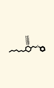 CCCCCCCC1CCC(CCSc2ccccc2)CC1.F.F.F.F.F